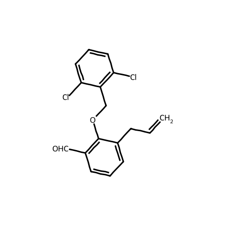 C=CCc1cccc(C=O)c1OCc1c(Cl)cccc1Cl